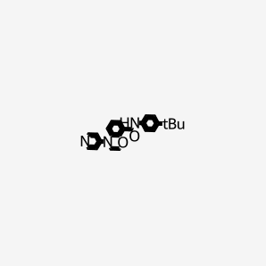 CC(C)(C)c1ccc(NC(=O)c2cccc3c2OCCN3c2ccncc2)cc1